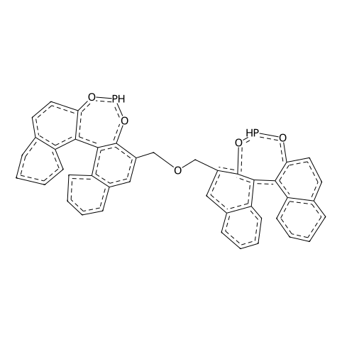 c1ccc2c(c1)ccc1o[pH]oc3c(COCc4cc5ccccc5c5c4o[pH]oc4ccc6ccccc6c45)cc4ccccc4c3c12